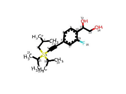 CC(C)CS(C#Cc1ccc(C(O)CO)c(F)c1)(C(C)C)C(C)C